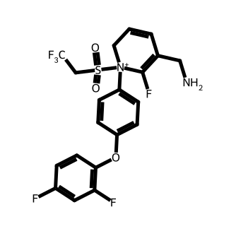 NCC1=C(F)[N+](c2ccc(Oc3ccc(F)cc3F)cc2)(S(=O)(=O)CC(F)(F)F)CC=C1